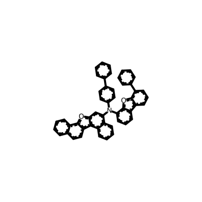 c1ccc(-c2ccc(N(c3cc4oc5c6ccccc6ccc5c4c4ccccc34)c3cccc4c3oc3c(-c5ccccc5)cccc34)cc2)cc1